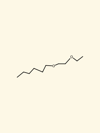 CCCCCCOCCOCC